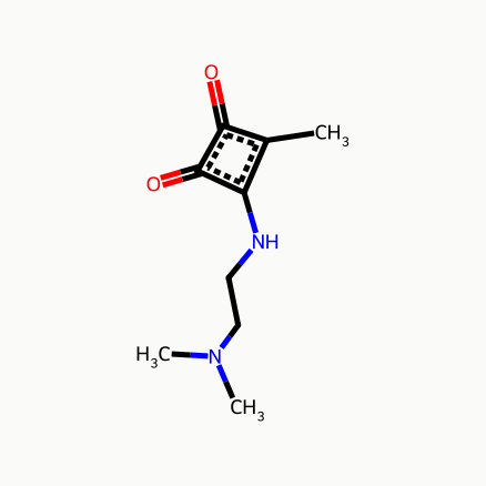 Cc1c(NCCN(C)C)c(=O)c1=O